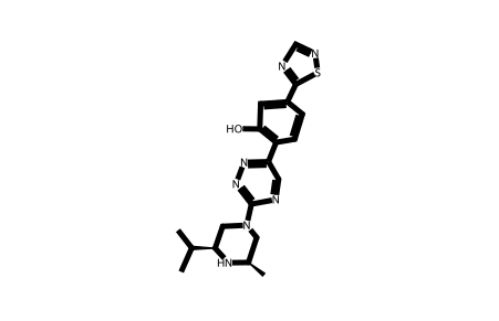 CC(C)[C@H]1CN(c2ncc(-c3ccc(-c4ncns4)cc3O)nn2)C[C@@H](C)N1